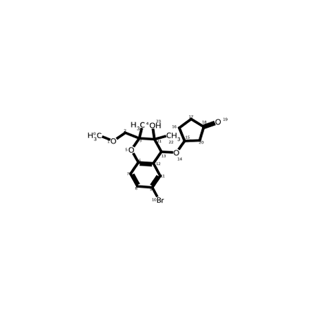 COCC1(C)Oc2ccc(Br)cc2C(OC2CCC(=O)C2)C1(C)O